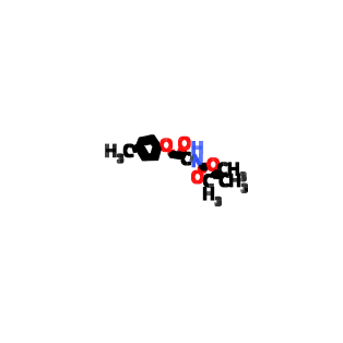 Cc1ccc(OCC(=O)CNC(=O)OC(C)(C)C)cc1